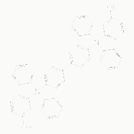 Oc1cccc([N+](c2ccccc2)(c2ccccc2)c2ccc(-c3ccc([N+](c4ccccc4)(c4ccccc4)c4cccc(O)c4)cc3)cc2)c1